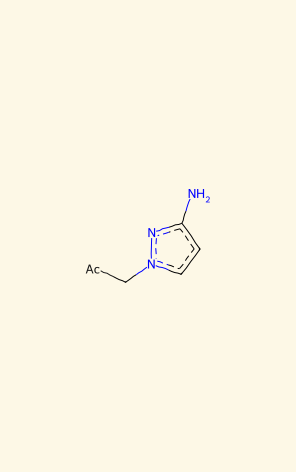 CC(=O)Cn1ccc(N)n1